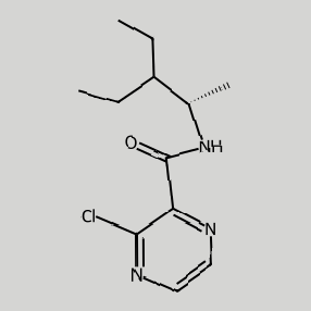 CCC(CC)[C@H](C)NC(=O)c1nccnc1Cl